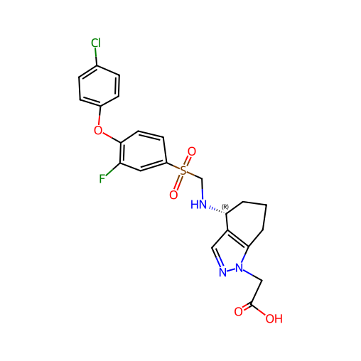 O=C(O)Cn1ncc2c1CCC[C@H]2NCS(=O)(=O)c1ccc(Oc2ccc(Cl)cc2)c(F)c1